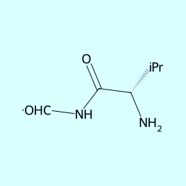 CC(C)[C@H](N)C(=O)N[C]=O